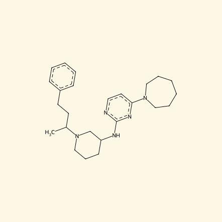 CC(CCc1ccccc1)N1CCCC(Nc2nccc(N3CCCCCC3)n2)C1